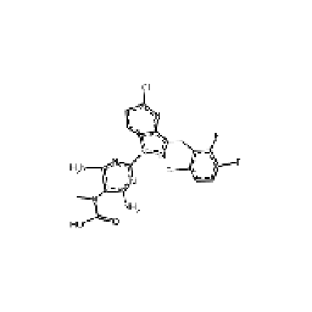 CN(C(=O)O)c1c(N)nc(-n2nc(Cc3c(F)ccc(F)c3F)c3nc(Cl)ccc32)nc1N